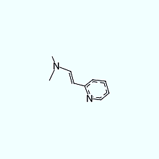 CN(C)/C=C/c1ccccn1